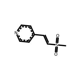 CS(=O)(=O)C=Cc1ccncc1